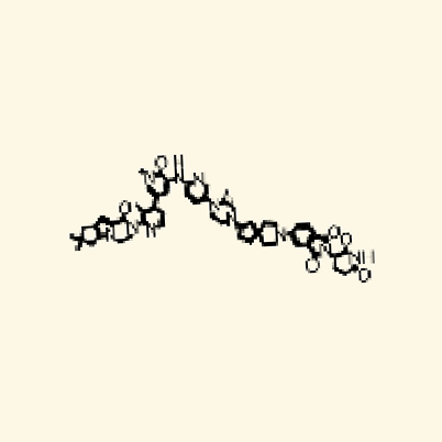 Cc1c(-c2cc(Nc3ccc(N4CCN([C@@H]5CCC6(CCN(c7ccc8c(c7)C(=O)N(C7CCC(=O)NC7=O)C8=O)CC6)C5)C[C@@H]4C)cn3)c(=O)n(C)c2)ccnc1N1CCn2c(cc3c2CC(C)(C)C3)C1=O